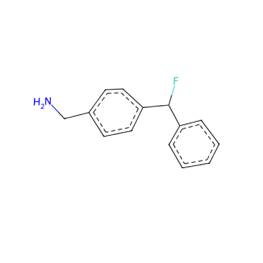 NCc1ccc(C(F)c2ccccc2)cc1